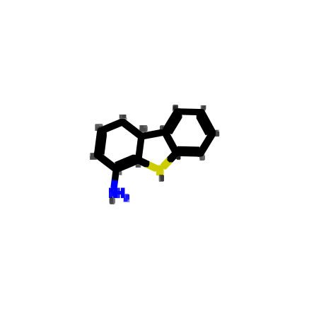 NC1=C2Sc3ccccc3C2CC=C1